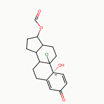 O=COC1CCC2C1CCC1(Cl)C2CCC2=CC(=O)C=C[C@@]21O